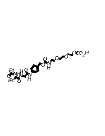 CCC(=O)NC(C(=O)NCC(=O)Nc1ccc(COC(=O)NCCOCCOCCOC(=O)O)cc1)C(C)C